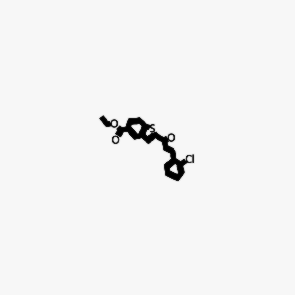 CCOC(=O)c1ccc2sc(C(=O)/C=C/c3ccccc3Cl)cc2c1